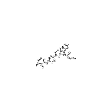 CC(C)(C)OC(=O)N[C@@H]1c2ccnn2CC12CCN(c1cnc(Sc3cccc(F)c3Cl)cn1)CC2